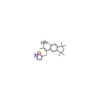 CCCc1cc2c(cc1C(Cc1ccno1)=C(C)C)C(C)(C)CC2(C)C